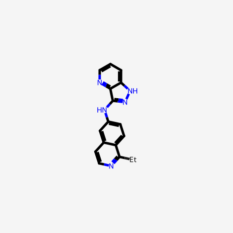 CCc1nccc2cc(Nc3n[nH]c4cccnc34)ccc12